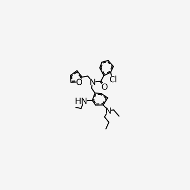 CCCN(CC)c1ccc(CN(Cc2ccco2)C(=O)c2ccccc2Cl)c(NCC)c1